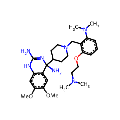 COc1cc2c(cc1OC)C(N)(C1CCN(Cc3c(OCCN(C)C)cccc3N(C)C)CC1)N=C(N)N2